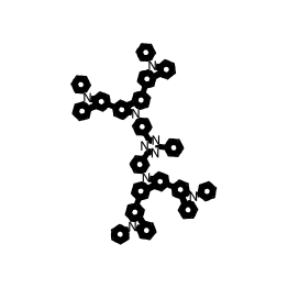 c1ccc(-c2nc(-c3ccc(-n4c5ccc(-c6ccc7c(c6)c6ccccc6n7-c6ccccc6)cc5c5cc(-c6ccc7c(c6)c6ccccc6n7-c6ccccc6)ccc54)cc3)nc(-c3cccc(-n4c5ccc(-c6ccc7c(c6)c6ccccc6n7-c6ccccc6)cc5c5cc(-c6ccc7c(c6)c6ccccc6n7-c6ccccc6)ccc54)c3)n2)cc1